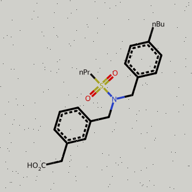 CCCCc1ccc(CN(Cc2cccc(CC(=O)O)c2)S(=O)(=O)CCC)cc1